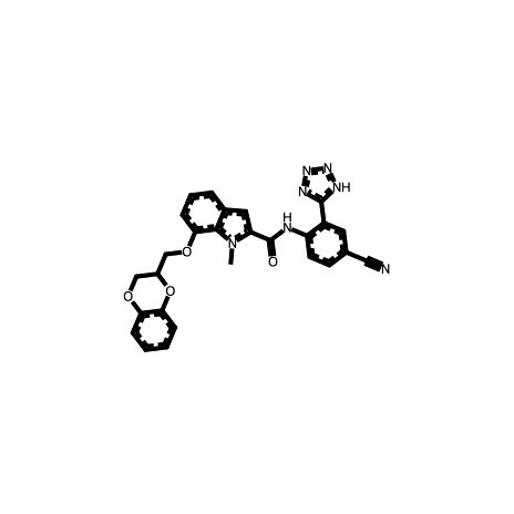 Cn1c(C(=O)Nc2ccc(C#N)cc2-c2nnn[nH]2)cc2cccc(OCC3COc4ccccc4O3)c21